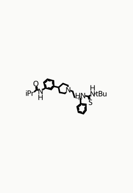 CC(C)C(=O)Nc1cccc(C2CCN(CC[C@H](NC(=S)NC(C)(C)C)c3ccccc3)CC2)c1